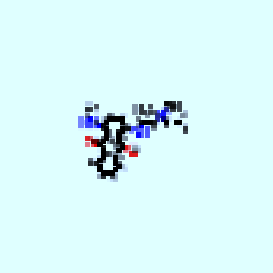 CNc1ccc(NCC[N+](C)(C)C)c2c1C(=O)c1ccccc1C2=O